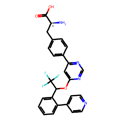 N[C@@H](Cc1ccc(-c2cc(OC(c3ccccc3-c3ccncc3)C(F)(F)F)ncn2)cc1)C(=O)O